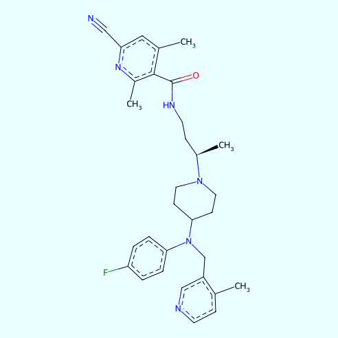 Cc1ccncc1CN(c1ccc(F)cc1)C1CCN([C@H](C)CCNC(=O)c2c(C)cc(C#N)nc2C)CC1